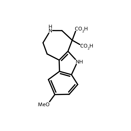 COc1ccc2[nH]c3c(c2c1)CCNCC3(C(=O)O)C(=O)O